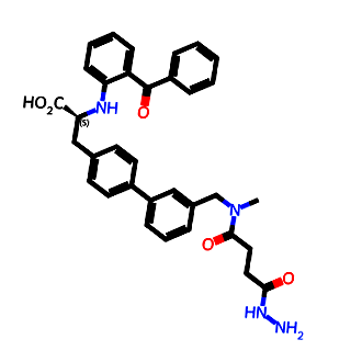 CN(Cc1cccc(-c2ccc(C[C@H](Nc3ccccc3C(=O)c3ccccc3)C(=O)O)cc2)c1)C(=O)CCC(=O)NN